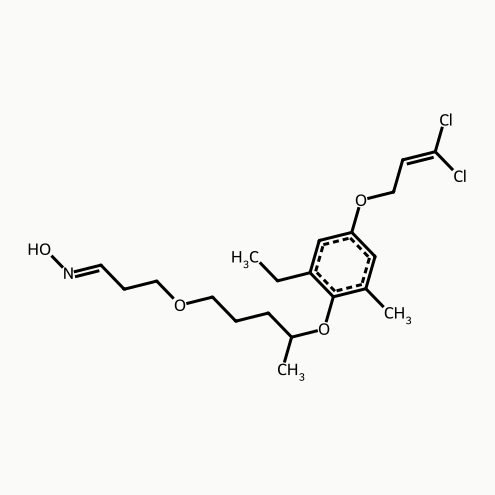 CCc1cc(OCC=C(Cl)Cl)cc(C)c1OC(C)CCCOCCC=NO